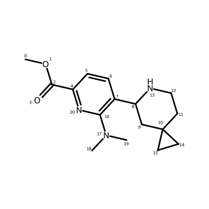 COC(=O)c1ccc(C2CC3(CCN2)CC3)c(N(C)C)n1